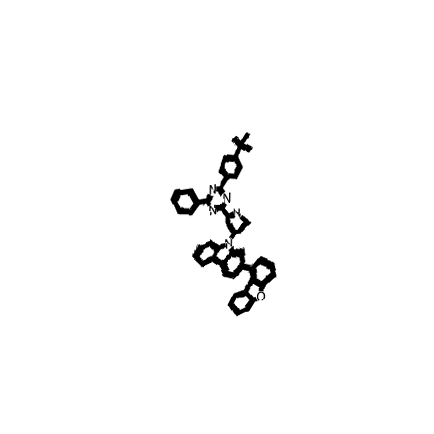 CC(C)(C)c1ccc(-c2nc(-c3ccccc3)nc(-c3cc(-n4c5ccccc5c5ccc(-c6cccc7oc8ccccc8c67)cc54)ccn3)n2)cc1